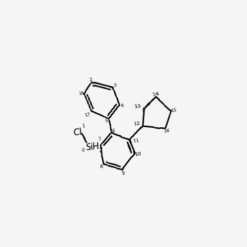 [SiH3]Cl.c1ccc(-c2ccccc2C2CCCC2)cc1